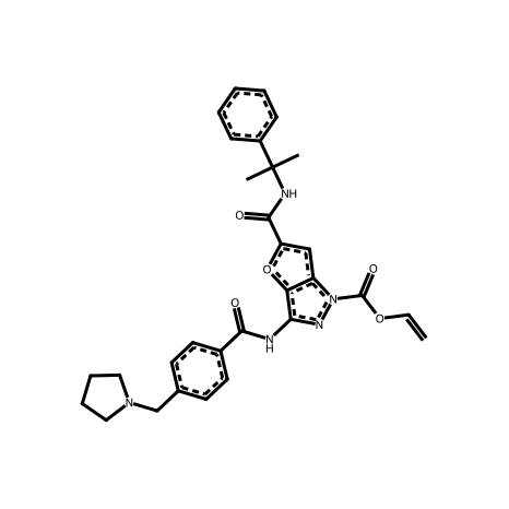 C=COC(=O)n1nc(NC(=O)c2ccc(CN3CCCC3)cc2)c2oc(C(=O)NC(C)(C)c3ccccc3)cc21